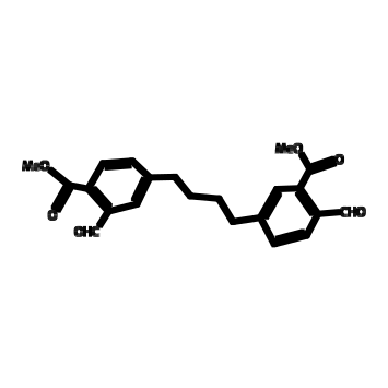 COC(=O)c1ccc(CCCCc2ccc(C=O)c(C(=O)OC)c2)cc1C=O